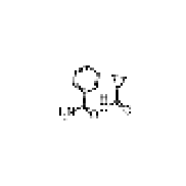 NC(=O)c1ccccc1.O=C(O)C1CC1